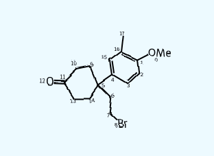 COc1ccc(C2(CCBr)CCC(=O)CC2)cc1C